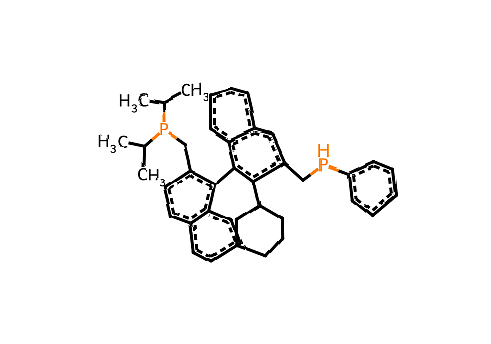 CC(C)P(Cc1ccc2ccccc2c1-c1c(C2CCCCC2)c(CPc2ccccc2)cc2ccccc12)C(C)C